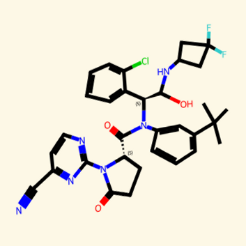 CC(C)(C)c1cccc(N(C(=O)[C@@H]2CCC(=O)N2c2nccc(C#N)n2)[C@@H](c2ccccc2Cl)C(O)NC2CC(F)(F)C2)c1